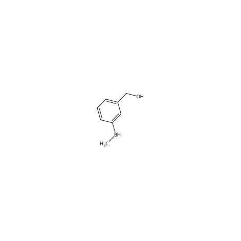 CBc1cccc(CO)c1